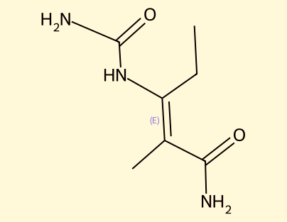 CC/C(NC(N)=O)=C(/C)C(N)=O